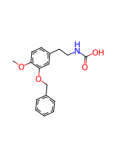 COc1ccc(CCNC(=O)O)cc1OCc1ccccc1